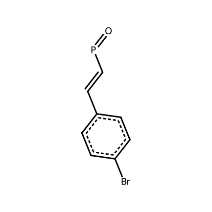 O=PC=Cc1ccc(Br)cc1